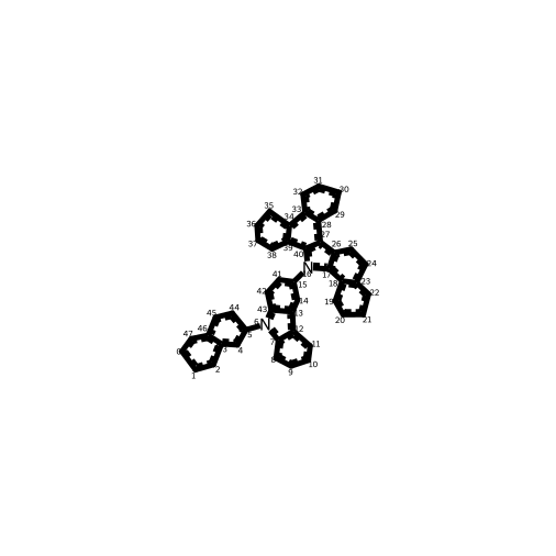 c1ccc2cc(-n3c4ccccc4c4cc(-n5c6c7ccccc7ccc6c6c7ccccc7c7ccccc7c65)ccc43)ccc2c1